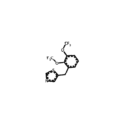 FC(F)(F)Oc1cccc(Cc2cncs2)c1OC(F)(F)F